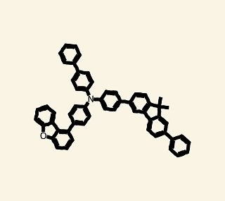 CC1(C)c2ccc(-c3ccc(N(c4ccc(-c5ccccc5)cc4)c4ccc(-c5cccc6oc7ccccc7c56)cc4)cc3)cc2-c2ccc(-c3ccccc3)cc21